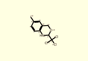 ClC(Cl)(Cl)C1Nc2ccc(I)cc2CO1